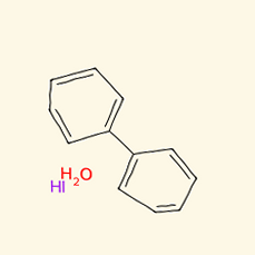 I.O.c1ccc(-c2ccccc2)cc1